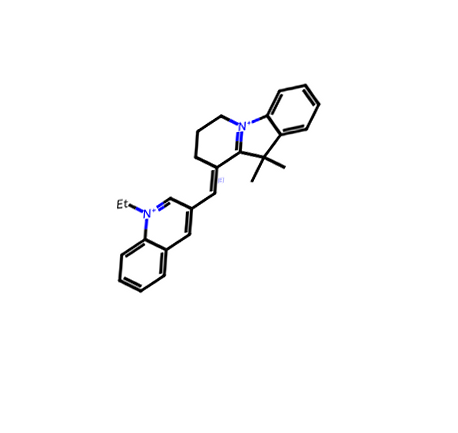 CC[n+]1cc(/C=C2\CCC[N+]3=C2C(C)(C)c2ccccc23)cc2ccccc21